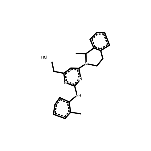 CCc1cc(N2CCc3ccccc3C2C)nc(Nc2ccccc2C)n1.Cl